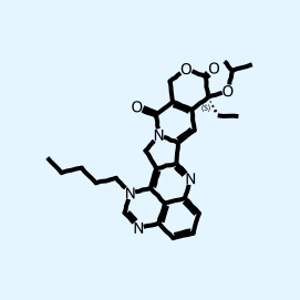 CCCCCN1C=Nc2cccc3nc4c(c1c23)Cn1c-4cc2c(c1=O)COC(=O)[C@@]2(CC)OC(C)C